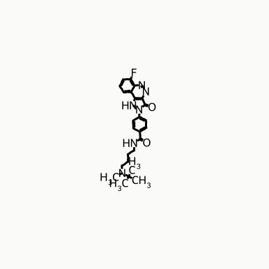 CN(CCCCNC(=O)c1ccc(-n2[nH]c3c(nnc4c(F)cccc43)c2=O)cc1)C(C)(C)C